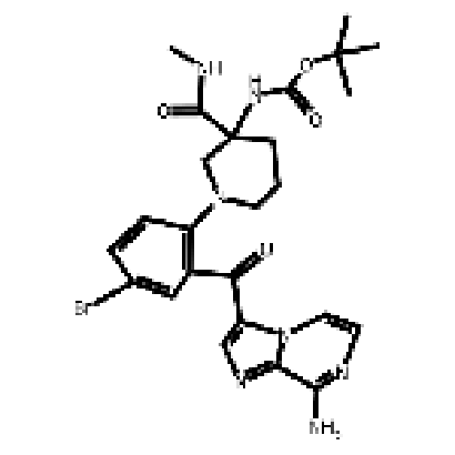 CNC(=O)C1(NC(=O)OC(C)(C)C)CCCN(c2ccc(Br)cc2C(=O)c2cnc3c(N)nccn23)C1